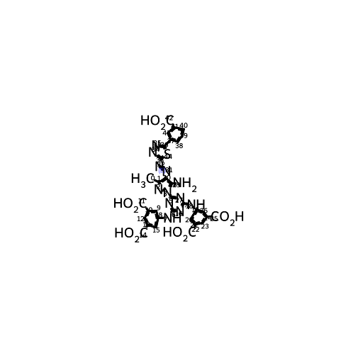 Cc1nn(-c2nc(Nc3cc(C(=O)O)cc(C(=O)O)c3)nc(Nc3cc(C(=O)O)cc(C(=O)O)c3)n2)c(N)c1/N=N/c1nnc(-c2cccc(C(=O)O)c2)s1